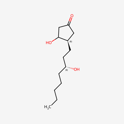 CCCCC[C@@H](O)CC[C@@H]1CC(=O)CC1O